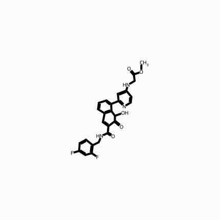 COC(=O)CNc1ccnc(-c2cccc3c2C(O)C(=O)C(C(=O)NCc2ccc(F)cc2F)=C3)c1